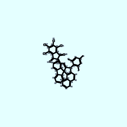 Cc1cc(C)c(N2/C(=C/C=C3C(=O)c4c(Cl)c(Cl)c(Cl)c(Cl)c4C3=O)C3(c4ccccc4-c4ccccc43)c3c2ccc2ccccc32)c(C)c1